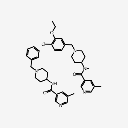 CCOc1cc(CN2CCC(NC(=O)c3cncc(C)c3)CC2)ccc1Cl.Cc1cncc(C(=O)NC2CCN(Cc3ccccc3)CC2)c1